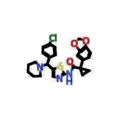 O=C(Nc1ncc(C(c2ccc(Cl)cc2)N2CCCCC2)s1)C1(c2ccc3c(c2)OCO3)CC1